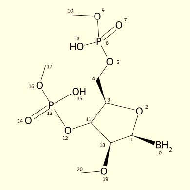 B[C@@H]1O[C@H](COP(=O)(O)OC)C(OP(=O)(O)OC)[C@@H]1OC